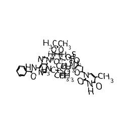 Cc1cn(C2C[C@H](OP(=S)(S)OC[C@H]3O[C@@H](n4cnc5c(NC(=O)c6ccccc6)ncnc54)[C@@H]4OC(C)(C)O[C@@H]43)[C@@H](CO[Si](C)(C)C(C)(C)C)O2)c(=O)[nH]c1=O